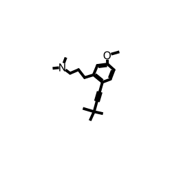 COc1ccc(C#CC(C)(C)C)c(CCCN(C)C)c1